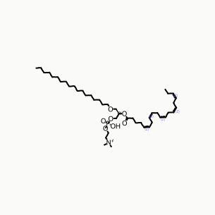 CC/C=C\C/C=C\C/C=C\C/C=C\C/C=C\CCCC(=O)O[C@H](COCCCCCCCCCCCCCCCCCC)COP(=O)(O)OCC[N+](C)(C)C